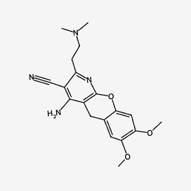 COc1cc2c(cc1OC)Oc1nc(CCN(C)C)c(C#N)c(N)c1C2